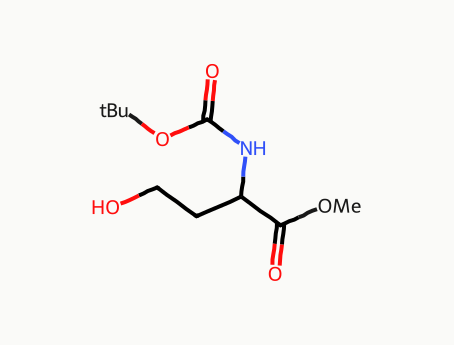 COC(=O)C(CCO)NC(=O)OC(C)(C)C